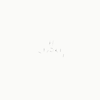 CCC=CC1=CC[C]([Zr+2][C]2=CC(C=CCC)=CC2)=C1.[Cl-].[Cl-]